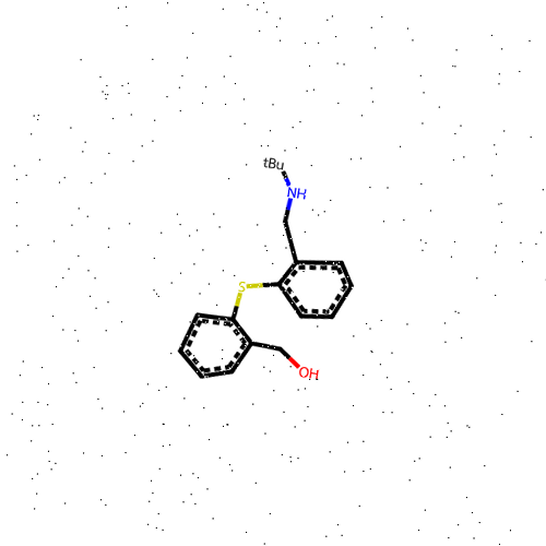 CC(C)(C)NCc1ccccc1Sc1ccccc1CO